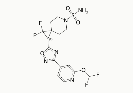 NS(=O)(=O)N1CCC2(CC1)[C@H](c1nc(-c3ccnc(OC(F)F)c3)no1)C2(F)F